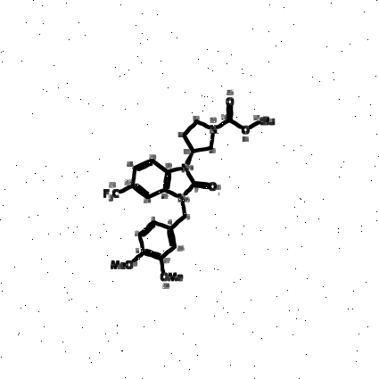 COc1ccc(Cn2c(=O)n([C@H]3CCN(C(=O)OC(C)(C)C)C3)c3ccc(C(F)(F)F)cc32)cc1OC